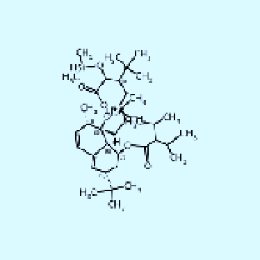 CC(C)C(C(=O)O[C@H]1C[C@H](C(C)(C)C)C=C2C=C[C@H](C)[C@](CC[C@@H]3C[C@H](C(C)(C)C)C(O[SiH](C)C)C(=O)O3)(O[SiH](C)C)[C@H]21)C(C)C